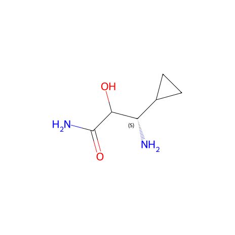 NC(=O)C(O)[C@@H](N)C1CC1